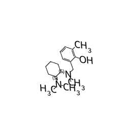 Cc1cccc(CN(C)[C@H]2CCCC[C@@H]2N(C)C)c1O